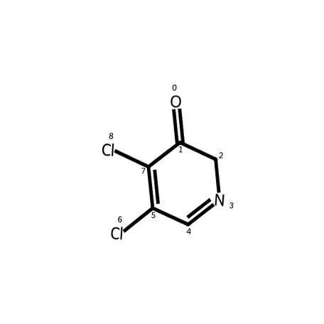 O=C1CN=CC(Cl)=C1Cl